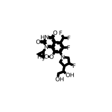 COc1c(N2CC(F)C(C(O)CO)C2)c(F)c(C(F)F)c2c(=O)[nH]c(=O)n(C3CC3)c12